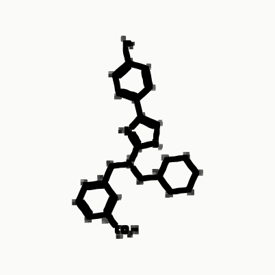 CC(C)c1ccc(-c2csc(N(Cc3cccc(C(=O)O)c3)CC3CCCCC3)n2)cc1